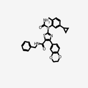 Cc1ccc(C2CC2)cc1N(C(N)=O)c1nc(-c2ccc3c(c2)OCCO3)c(C(=O)NCc2ccccc2)s1